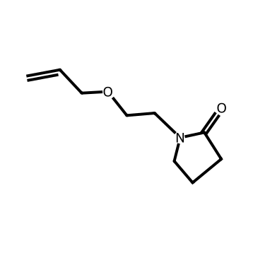 C=CCOCCN1CCCC1=O